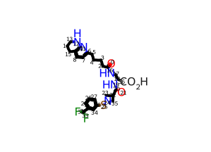 O=C(CCCCc1ccc2c(n1)NCCC2)NCC(NC(=O)C1CN(Sc2cccc(C(F)F)c2)C1)C(=O)O